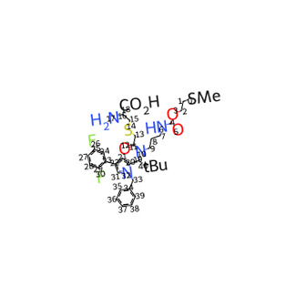 CSCCOC(=O)NCCCN(C(=O)CSC[C@H](N)C(=O)O)C(c1cc(-c2cc(F)ccc2F)cn1Cc1ccccc1)C(C)(C)C